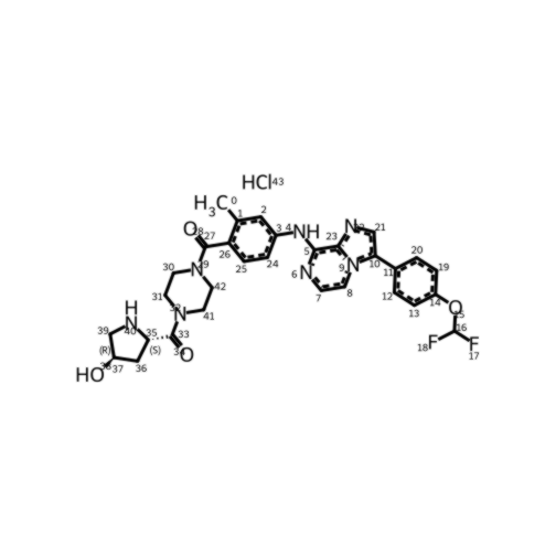 Cc1cc(Nc2nccn3c(-c4ccc(OC(F)F)cc4)cnc23)ccc1C(=O)N1CCN(C(=O)[C@@H]2C[C@@H](O)CN2)CC1.Cl